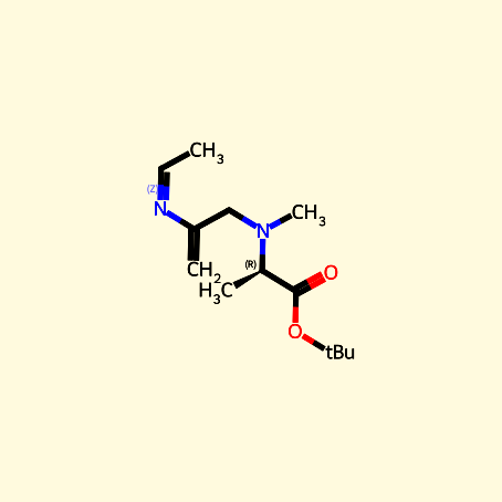 C=C(CN(C)[C@H](C)C(=O)OC(C)(C)C)/N=C\C